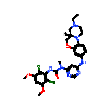 CCN1CCN2c3ccc(Nc4cc(N(C)C(=O)Nc5c(Cl)c(OC)cc(OC)c5Cl)ncn4)cc3OC[C@@H]2C1